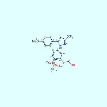 COc1ccc(-c2cc(C(F)(F)F)nn2-c2ccc(S(N)(=O)=O)c(CCO)c2)cc1